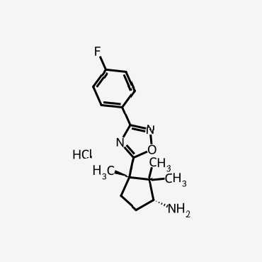 CC1(C)[C@H](N)CC[C@]1(C)c1nc(-c2ccc(F)cc2)no1.Cl